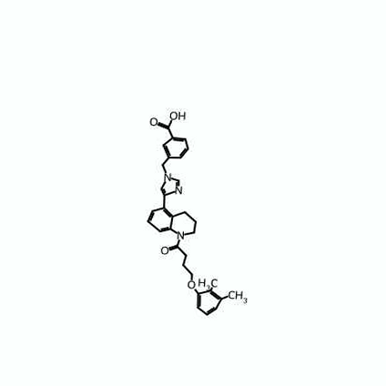 Cc1cccc(OCCCC(=O)N2CCCc3c(-c4cn(Cc5cccc(C(=O)O)c5)cn4)cccc32)c1C